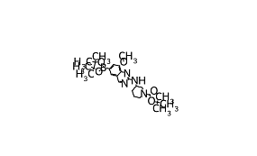 COc1cc(B2OC(C)(C)C(C)(C)O2)cc2cnc(NC3CCCN(C(=O)OC(C)(C)C)C3)nc12